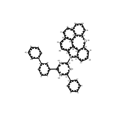 c1ccc(-c2cccc(-c3nc(-c4ccccc4)nc(-n4c5cccc6oc7cccc8ccc9ccc4c(c9c87)c65)n3)c2)cc1